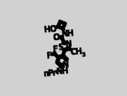 CCCNc1cc(C(F)F)c(-c2sc(C(=O)NC3CCC3O)nc2C)cn1